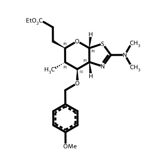 CCOC(=O)CC[C@H]1O[C@@H]2SC(N(C)C)=N[C@@H]2[C@@H](OCc2ccc(OC)cc2)[C@@H]1C